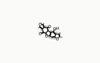 O=C1c2cocc2C(=O)C2c3c(cc4occc4c3O)OC12